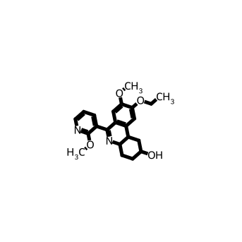 CCOc1cc2c(cc1OC)C(c1cccnc1OC)=NC1CCC(O)CC21